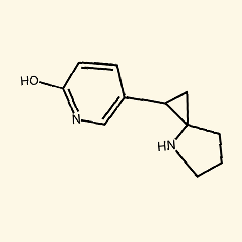 Oc1ccc(C2CC23CCCN3)cn1